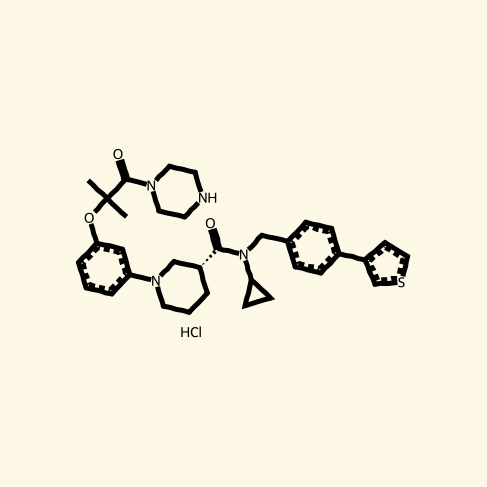 CC(C)(Oc1cccc(N2CCC[C@@H](C(=O)N(Cc3ccc(-c4ccsc4)cc3)C3CC3)C2)c1)C(=O)N1CCNCC1.Cl